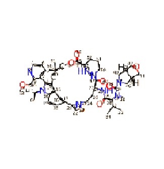 CCn1c(-c2cccnc2[C@H](C)OC)c2c3cc(ccc31)-c1csc(n1)C[C@H](NC(=O)[C@H](C(C)C)N(C)C(=O)N1C[C@H]3COC[C@H]3C1)C(=O)N1CCC[C@H](N1)C(=O)OCC(C)(C)C2